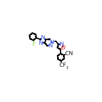 N#Cc1cc(C(F)(F)F)ccc1-c1cc(Cn2cc3nc(-c4ccccc4F)nc-3cn2)no1